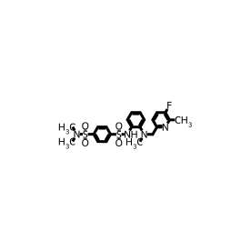 Cc1nc(CN(C)c2ccccc2NS(=O)(=O)c2ccc(S(=O)(=O)N(C)C)cc2)ccc1F